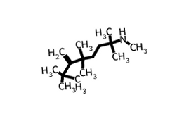 C=C(C(C)(C)C)C(C)(C)CCC(C)(C)NC